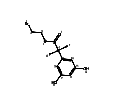 O=C(OCCBr)C(F)(F)c1cc(O)cc(O)c1